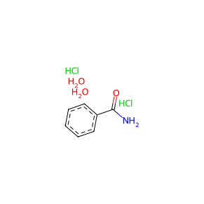 Cl.Cl.NC(=O)c1ccccc1.O.O